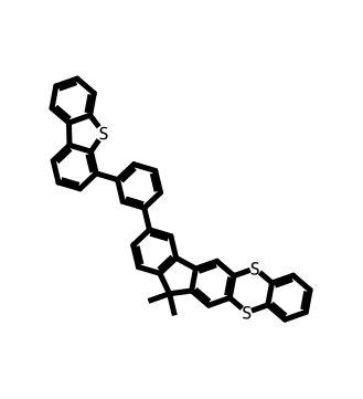 CC1(C)c2ccc(-c3cccc(-c4cccc5c4sc4ccccc45)c3)cc2-c2cc3c(cc21)Sc1ccccc1S3